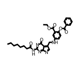 CCCCCCCC(=O)NC1=NC(=O)C2=C(CNc3ccc(OC(=O)c4ccccc4)c(C(=O)OCC)c3)C=NC2=N1